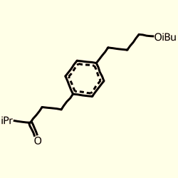 CC(C)COCCCc1ccc(CCC(=O)C(C)C)cc1